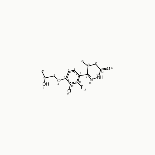 CC(O)COc1ccc(C2=NNC(=O)CC2C)c(F)c1Cl